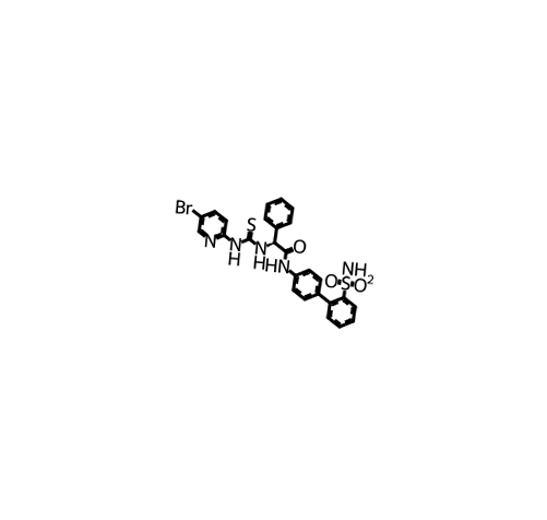 NS(=O)(=O)c1ccccc1-c1ccc(NC(=O)[C@@H](NC(=S)Nc2ccc(Br)cn2)c2ccccc2)cc1